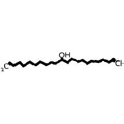 C=CCCCCCCCCCC(O)CCCCCCCCCC=C